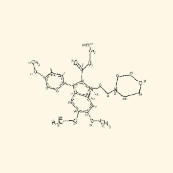 COC(=O)c1c(-c2ccc(OC)cc2)c2cc(OC)c(OC)cc2n1CCN1CCOCC1.Cl